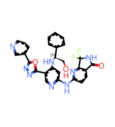 O=C1NC(F)(F)c2nc(Nc3cc(N[C@H](CO)c4ccccc4)c(-c4nnc(-c5cccnc5)o4)cn3)ccc21